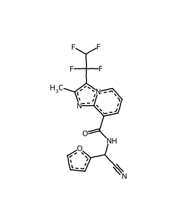 Cc1nc2c(C(=O)NC(C#N)c3ccco3)cccn2c1C(F)(F)C(F)F